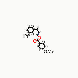 COc1ccc(C(=O)O/C=C/C(C)c2cccc(C(C)C)c2)cc1